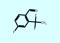 CC(F)(F)c1cc(F)ccc1C=O